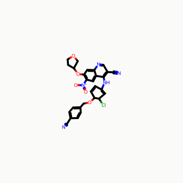 N#Cc1ccc(COC2C=CC(Nc3c(C#N)cnc4cc(OC5CCOC5)c([N+](=O)[O-])cc34)=CC2Cl)cc1